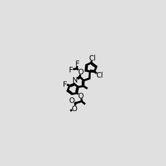 COC(=O)C(C)Oc1ccc(F)c2nc(OC(F)F)c(Cc3ccc(Cl)cc3Cl)c(C)c12